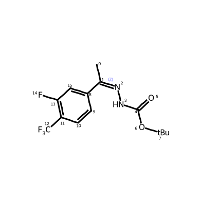 C/C(=N/NC(=O)OC(C)(C)C)c1ccc(C(F)(F)F)c(F)c1